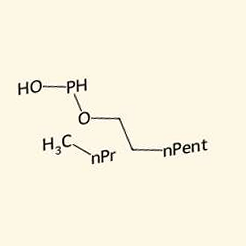 CCCC.CCCCCCCOPO